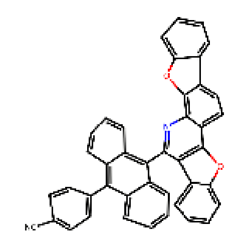 N#Cc1ccc(-c2c3ccccc3c(-c3nc4c(ccc5c6ccccc6oc54)c4oc5ccccc5c34)c3ccccc23)cc1